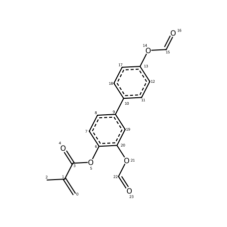 C=C(C)C(=O)Oc1ccc(-c2ccc(OC=O)cc2)cc1OC=O